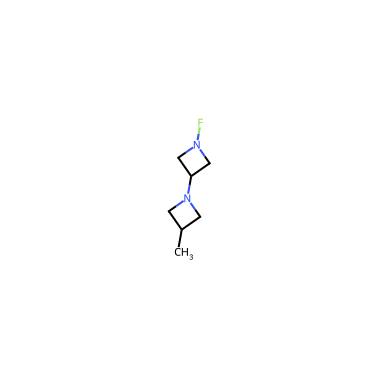 CC1CN(C2CN(F)C2)C1